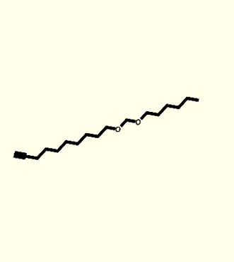 C#CCCCCCCCCOCOCCCCCC